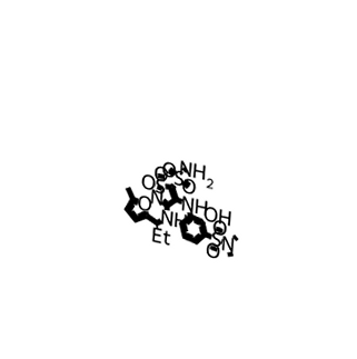 CC[C@@H](NC1=NS(=O)(=O)C(S(N)(=O)=O)=C1Nc1cccc(S(=O)(=O)N(C)C)c1O)c1ccc(C)o1